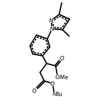 CCCCOC(=O)CC(C(=O)OC)c1cccc(-n2nc(C)cc2C)c1